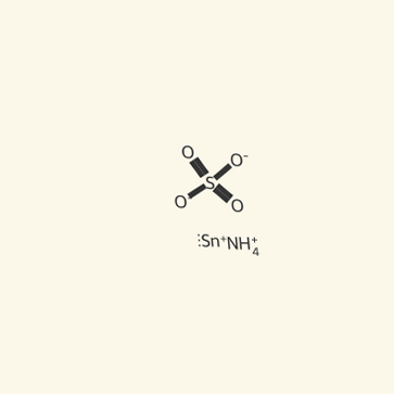 O=S(=O)([O-])[O-].[NH4+].[Sn+]